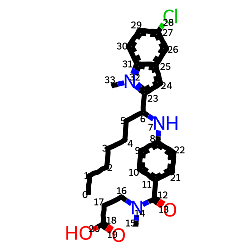 CCCCCCC(Nc1ccc(C(=O)N(C)CCC(=O)O)cc1)c1cc2cc(Cl)ccc2n1C